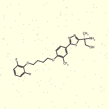 C[C@](N)(CO)c1nnc(-c2ccc(OCCCCOc3c(F)cccc3F)c(C(F)(F)F)c2)s1